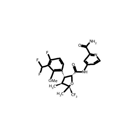 COc1c([C@@H]2[C@H](C(=O)Nc3ccnc(C(N)=O)c3)O[C@@](C)(C(F)(F)F)[C@H]2C)ccc(F)c1C(F)F